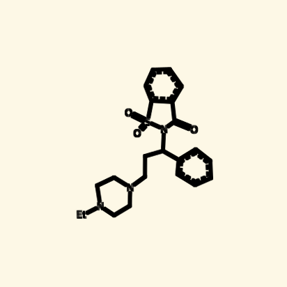 CCN1CCN(CCC(c2ccccc2)N2C(=O)c3ccccc3S2(=O)=O)CC1